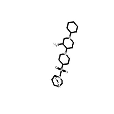 NC1CN(C2CCCCC2)CCC1N1CCC(S(=O)(=O)N2CCN3CCC2CC3)CC1